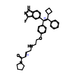 O=C(/C=C/CNCCOc1ccc(/C(=C(\c2ccccc2)C2CCC2)c2ccc3[nH]nc(F)c3c2)cc1)N1CCCC1